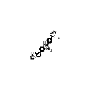 CCCOC(C)c1ccc(C(=O)Nc2ccc(N3CCC(N4CCCC4C)C3)cc2C)cc1